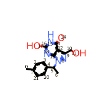 Cc1ccc(C(C)n2nc(CO)c3c(=O)[nH]c(O)nc32)cc1